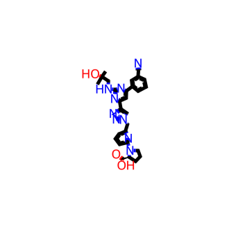 CC(C)(O)CNc1nc(-c2cccc(C#N)c2)cc(-c2cn(Cc3cccc(N4CCC[C@H]4C(=O)O)n3)nn2)n1